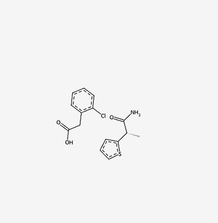 C[C@@H](C(N)=O)c1cccs1.O=C(O)Cc1ccccc1Cl